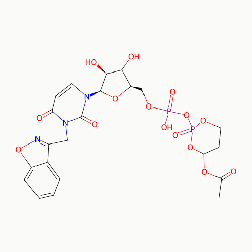 CC(=O)OC1CCOP(=O)(OP(=O)(O)OC[C@H]2O[C@@H](n3ccc(=O)n(Cc4noc5ccccc45)c3=O)[C@@H](O)C2O)O1